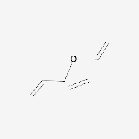 C=C.C=CCOC=C